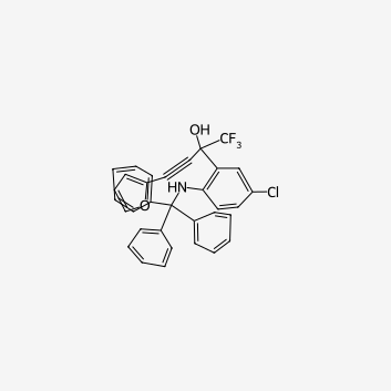 OC(C#Cc1ccco1)(c1cc(Cl)ccc1NC(c1ccccc1)(c1ccccc1)c1ccccc1)C(F)(F)F